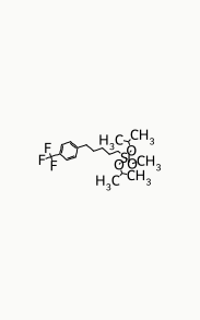 CO[Si](CCCCCc1ccc(C(F)(F)F)cc1)(OC(C)C)OC(C)C